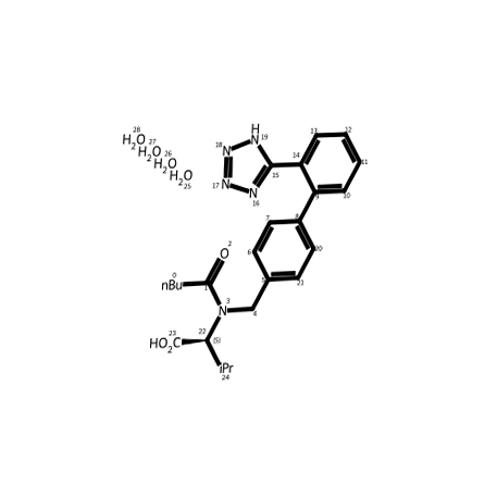 CCCCC(=O)N(Cc1ccc(-c2ccccc2-c2nnn[nH]2)cc1)[C@H](C(=O)O)C(C)C.O.O.O.O